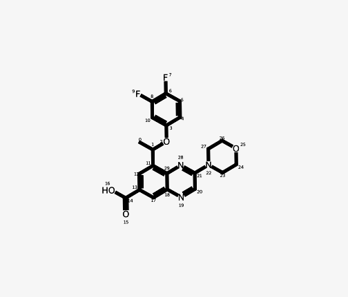 CC(Oc1ccc(F)c(F)c1)c1cc(C(=O)O)cc2ncc(N3CCOCC3)nc12